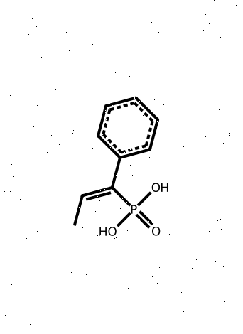 CC=C(c1ccccc1)P(=O)(O)O